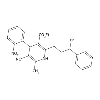 CCOC(=O)C1=C(CCC(Br)c2ccccc2)NC(C)=C(C#N)C1c1ccccc1[N+](=O)[O-]